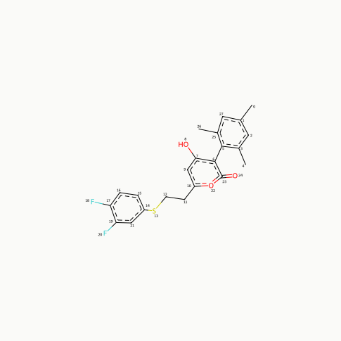 Cc1cc(C)c(-c2c(O)cc(CCSc3ccc(F)c(F)c3)oc2=O)c(C)c1